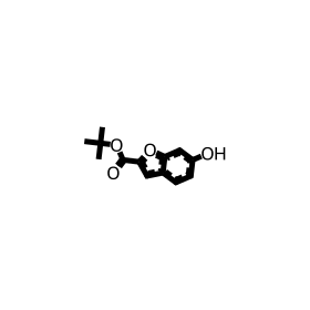 CC(C)(C)OC(=O)c1cc2ccc(O)cc2o1